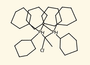 CC(Cl)([PH](C1CCCCC1)(C1CCCCC1)C1CCCCC1)[PH](C1CCCCC1)(C1CCCCC1)C1CCCCC1